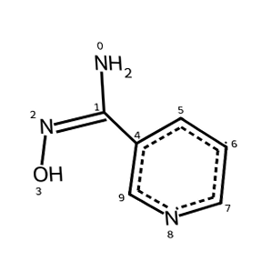 N/C(=N/O)c1c[c]cnc1